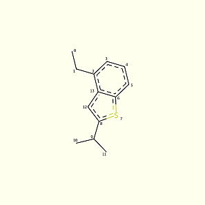 CCc1cccc2sc(C(C)C)cc12